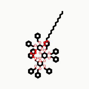 CCCCCCCCCCCCCCCC(=O)OC[C@H]1O[C@H](O[C@@H]2[C@H](O)[C@@H](O[C@H]3O[C@H](COCc4ccccc4)[C@@H](OCc4ccccc4)[C@H](OCc4ccccc4)[C@@H]3OCc3ccccc3)[C@H](OCc3ccccc3)[C@@H](OCc3ccccc3)[C@@H]2OCc2ccccc2)[C@@H](OCc2ccccc2)[C@@H](OCc2ccccc2)[C@@H]1OCc1ccccc1